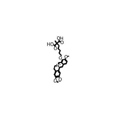 COc1ccc2cc3[n+](cc2c1OCCCCCC(C)(C(=O)O)C(=O)O)CCc1cc2c(cc1-3)OCO2